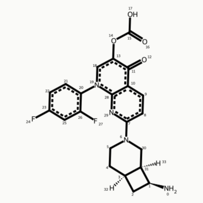 N[C@H]1C[C@H]2CCN(c3ccc4c(=O)c(OC(=O)O)cn(-c5ccc(F)cc5F)c4n3)C[C@H]21